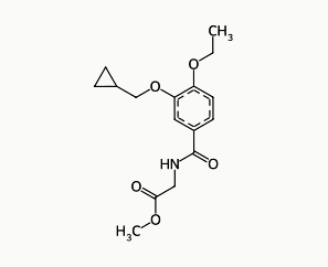 CCOc1ccc(C(=O)NCC(=O)OC)cc1OCC1CC1